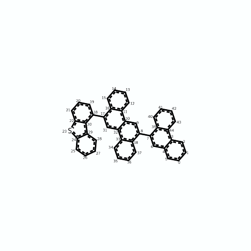 c1ccc2c(c1)cc(-c1cc3c4ccccc4c(-c4cccc5sc6ccccc6c45)cc3c3ccccc13)c1ccccc12